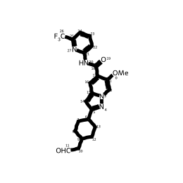 COc1cn2nc(C3CCC(CC=O)CC3)cc2cc1C(=O)Nc1cccc(C(F)(F)F)n1